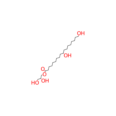 O=C(CCCCCCCCC(O)CCCCCCCCO)OCC(O)CO